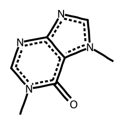 Cn1cnc2ncn(C)c2c1=O